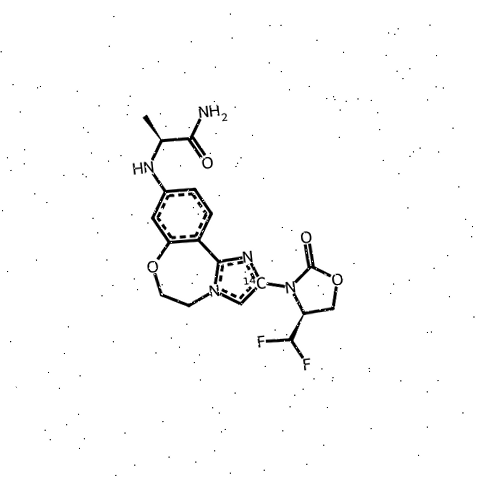 C[C@H](Nc1ccc2c(c1)OCCn1c[14c](N3C(=O)OC[C@H]3C(F)F)nc1-2)C(N)=O